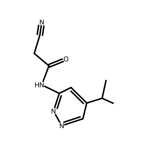 CC(C)c1cnnc(NC(=O)CC#N)c1